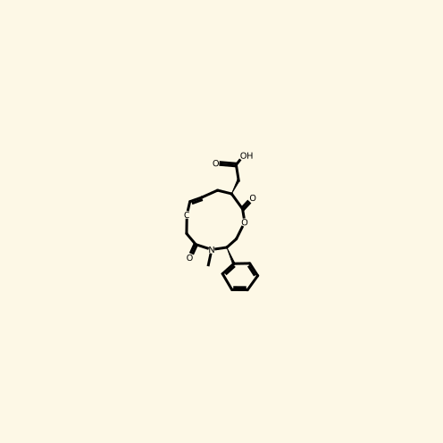 CN1C(=O)CC/C=C/C[C@@H](CC(=O)O)C(=O)OC[C@H]1c1ccccc1